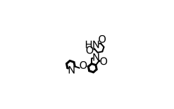 O=C1CCC(N2Cc3c(OCc4ccccn4)cccc3C2=O)C(=O)N1